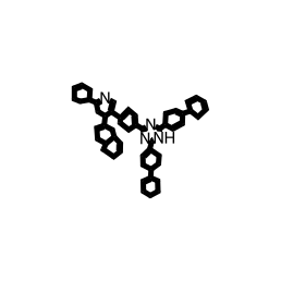 C1=CCC(C2=CCC(C3N=C(C4=CC=C(C5=CN=C(C6CC=CCC6)CC5C5=CCC6CCC=CC6C5)CC4)N=C(C4=CCC(C5=CCCCC5)CC4)N3)C=C2)C=C1